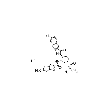 CN1Cc2nc(C(=O)N[C@H]3C[C@@H](C(=O)N(C)C)CC[C@@H]3NC(=O)c3cc4ccc(Cl)cc4cn3)sc2C1.Cl